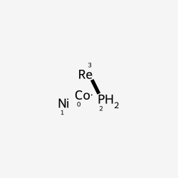 [Co].[Ni].[PH2][Re]